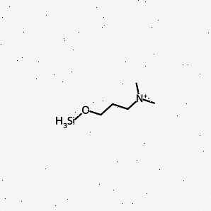 C[N+](C)CCCO[SiH3]